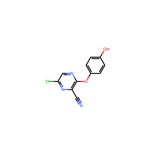 N#Cc1nc(Cl)cnc1Oc1ccc(O)cc1